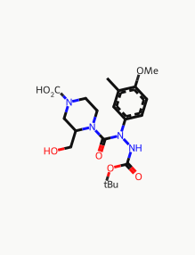 COc1ccc(N(NC(=O)OC(C)(C)C)C(=O)N2CCN(C(=O)O)CC2CO)cc1C